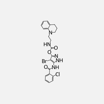 O=C(NCCN1CCCc2ccccc21)Oc1n[nH]c(NC(=O)c2ccccc2Cl)c1Br